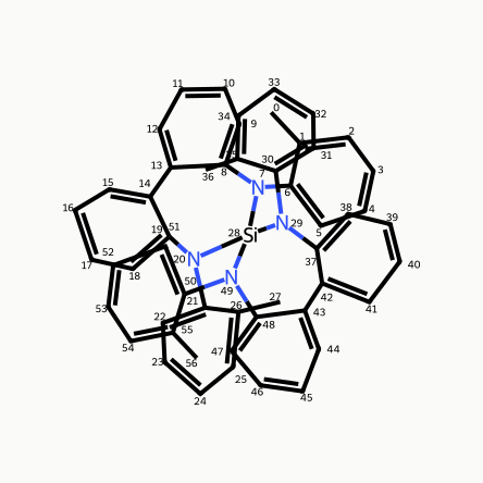 Cc1ccccc1N1c2ccccc2-c2ccccc2N(c2ccccc2C)[Si]12N(c1ccccc1C)c1ccccc1-c1ccccc1N2c1ccccc1C